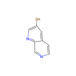 Sc1cnc2cnccc2c1